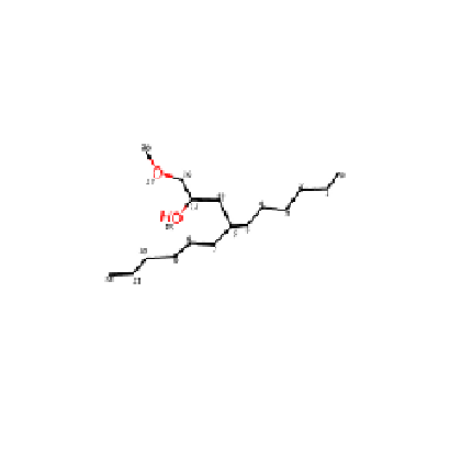 CCCCCCC(CCCCCC)CC(O)COC